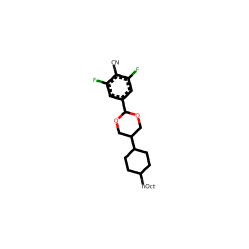 CCCCCCCCC1CCC(C2COC(c3cc(F)c(C#N)c(F)c3)OC2)CC1